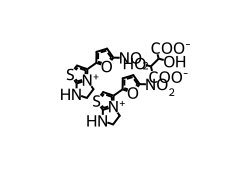 O=C([O-])C(O)C(O)C(=O)[O-].O=[N+]([O-])c1ccc(-c2csc3[n+]2CCN3)o1.O=[N+]([O-])c1ccc(-c2csc3[n+]2CCN3)o1